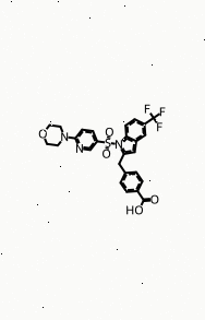 O=C(O)c1ccc(Cc2cc3cc(C(F)(F)F)ccc3n2S(=O)(=O)c2ccc(N3CCOCC3)nc2)cc1